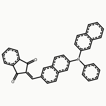 O=C1C(=Cc2ccc3cc(N(c4ccccc4)c4ccc5ccccc5c4)ccc3c2)C(=O)c2ccccc21